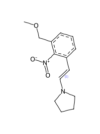 COCc1cccc(/C=C/N2CCCC2)c1[N+](=O)[O-]